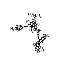 CC[C@@]1(O)C(=O)OCc2c1cc1n(c2=O)Cc2c-1nc1cc(F)c(C)cc1c2CCCOCNC(=O)CNC(=O)[C@H](CCCCN(C)C)NC(=O)[C@@H](C(C)C)C(CCC#Cc1cnc(S(C)(=O)=O)nc1)C(N)=O